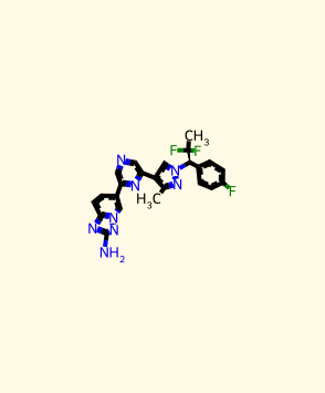 Cc1nn([C@H](c2ccc(F)cc2)C(C)(F)F)cc1-c1cncc(-c2ccc3nc(N)nn3c2)n1